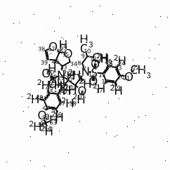 [2H]O[C@]([2H])(C([2H])([2H])N(CC(C)C)S(=O)(=O)c1c([2H])c([2H])c(OC)c([2H])c1[2H])[C@@]([2H])(N(C(=O)O)C1CO[C@@H]2OC=C[C@@H]12)C([2H])([2H])c1c([2H])c([2H])c(OC([2H])([2H])[2H])c([2H])c1[2H]